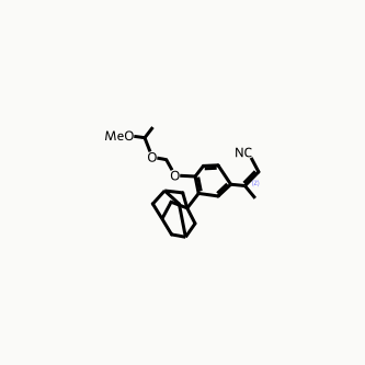 COC(C)OCOc1ccc(/C(C)=C\C#N)cc1C12CC3CC(CC(C3)C1)C2